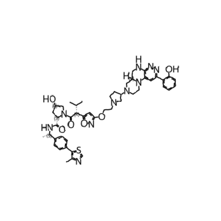 Cc1ncsc1-c1ccc([C@H](C)NC(=O)[C@@H]2C[C@@H](O)CN2C(=O)[C@@H](c2cc(OCCN3CCC(N4CCN5c6cc(-c7ccccc7O)nnc6NC[C@H]5C4)C3)no2)C(C)C)cc1